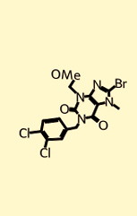 COCn1c(=O)n(Cc2ccc(Cl)c(Cl)c2)c(=O)c2c1nc(Br)n2C